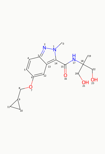 Cn1nc2ccc(OCC3CC3)cc2c1C(=O)NC(C)(CO)CO